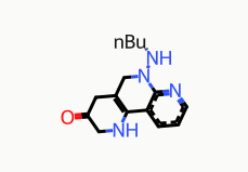 CCCCNN1CC2=C(NCC(=O)C2)c2cccnc21